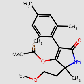 CCOCCC1(C)NC(=O)C(c2c(C)cc(C)cc2C)=C1OC(=S)OC